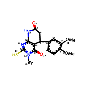 COc1ccc(C2CC(=O)Nc3nc(S)n(C(C)C)c(=O)c32)cc1OC